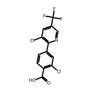 O=C(O)c1ccc(-c2ncc(C(F)(F)F)cc2Cl)cc1Cl